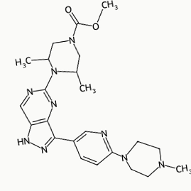 COC(=O)N1CC(C)N(c2ncc3[nH]nc(-c4ccc(N5CCN(C)CC5)nc4)c3n2)C(C)C1